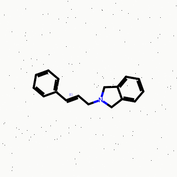 C(=C\c1ccccc1)/CN1Cc2ccccc2C1